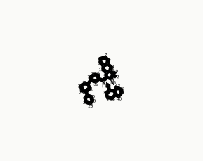 CC1(C)c2cc3ccccc3cc2-c2c(-c3cccc(-c4cccc(-c5ccccc5)c4)c3)nc(-c3cccc4ccccc34)nc21